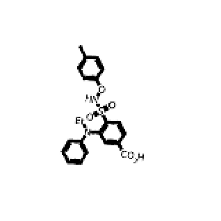 CCN(c1ccccc1)c1cc(C(=O)O)ccc1S(=O)(=O)NOc1ccc(C)cc1